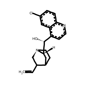 C=CC1C[N@@]2CCC1C[C@H]2[C@H](O)c1ccnc2ccc(Cl)cc12